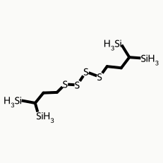 [SiH3]C([SiH3])CCSSSSCCC([SiH3])[SiH3]